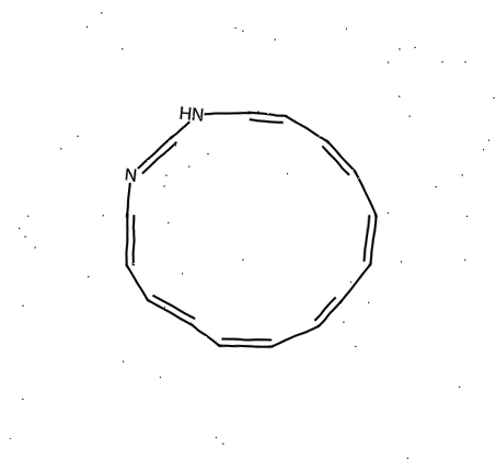 c1ccccccc[nH]cncccccc1